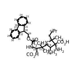 CC(C)CC(C)(C)C(N)(C(=O)O)C(C)CC(C)(C)C(NC(=O)OCC1c2ccccc2-c2ccccc21)C(=O)O